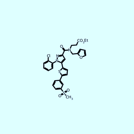 CCOC(=O)CCN(Cc1ccco1)C(=O)c1cc(-c2ccc(-c3cccc(S(C)(=O)=O)c3)s2)n(-c2ccccc2Cl)n1